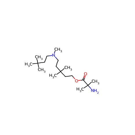 CN(CCC(C)(C)C)CCC(C)(C)CCOC(=O)C(C)(C)N